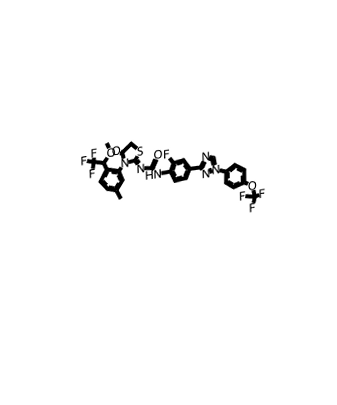 COC(c1ccc(C)cc1N1C(=O)CS/C1=N\C(=O)Nc1ccc(-c2ncn(-c3ccc(OC(F)(F)F)cc3)n2)cc1F)C(F)(F)F